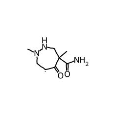 CN1C[CH]C(=O)C(C)(C(N)=O)CN1